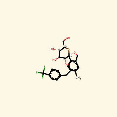 Cc1cc2c(cc1Cc1ccc(C(F)(F)F)cc1)[C@]1(OC2)S[C@H](CO)[C@@H](O)[C@H](O)[C@H]1O